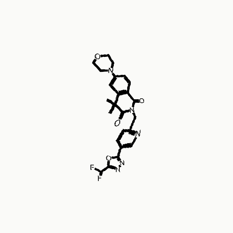 CC1(C)C(=O)N(Cc2ccc(-c3nnc(C(F)F)o3)cn2)C(=O)c2ccc(N3CCOCC3)cc21